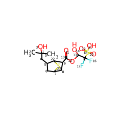 CC(C)(O)CC1CC2CC(C(=O)OC(O)C(F)(F)S(=O)(=O)O)C1S2